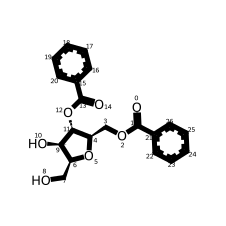 O=C(OC[C@H]1O[C@@H](CO)[C@@H](O)[C@@H]1OC(=O)c1ccccc1)c1ccccc1